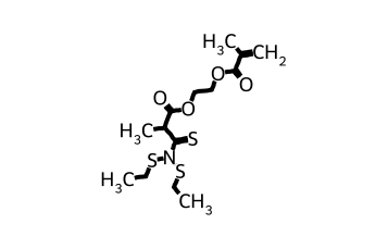 C=C(C)C(=O)OCCOC(=O)C(C)C(=S)N(SCC)SCC